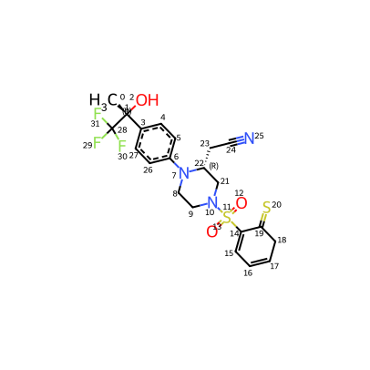 C[C@@](O)(c1ccc(N2CCN(S(=O)(=O)C3=CC=CCC3=S)C[C@H]2CC#N)cc1)C(F)(F)F